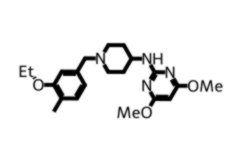 CCOc1cc(CN2CCC(Nc3nc(OC)cc(OC)n3)CC2)ccc1C